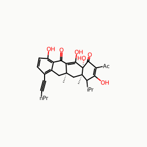 CCCC#Cc1ccc(O)c2c1C[C@]1(C)C[C@]3(C)C(C(C)C)C(O)=C(C(C)=O)C(=O)[C@]3(O)C(O)=C1C2=O